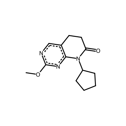 COc1ncc2c(n1)N(C1CCCC1)C(=O)CC2